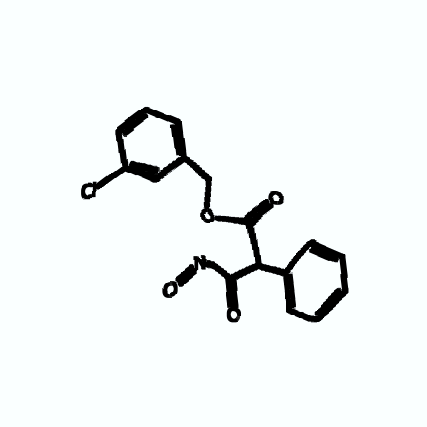 O=NC(=O)C(C(=O)OCc1cccc(Cl)c1)c1ccccc1